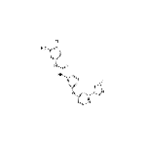 Cn1cc(-c2cc(Oc3cccc(NC(=O)Nc4ccc(Cl)c(C(F)(F)F)c4)c3)ccn2)cn1